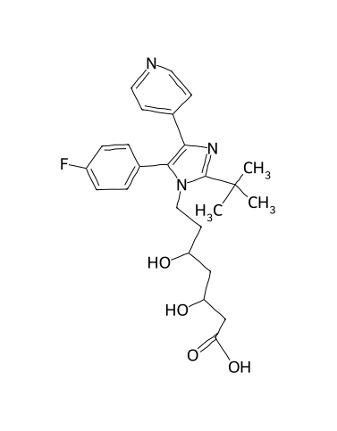 CC(C)(C)c1nc(-c2ccncc2)c(-c2ccc(F)cc2)n1CCC(O)CC(O)CC(=O)O